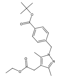 CCOC(=O)Cc1c(C)nn(Cc2ccc(C(=O)OC(C)(C)C)cc2)c1C